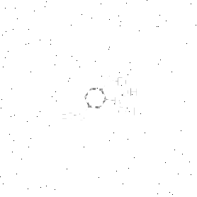 CCSc1ccc(SCC)c(B(O)O)c1